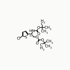 CC(C)(C)OC(=O)N[C@@H](COC(=O)OC(C)(C)C)c1ccc(Cl)s1